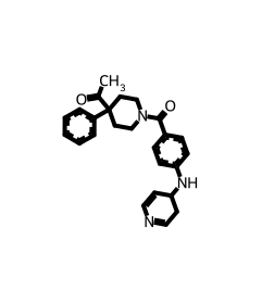 CC(=O)C1(c2ccccc2)CCN(C(=O)c2ccc(NC3C=CN=CC3)cc2)CC1